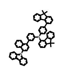 CC1(C)c2ccccc2-c2c(-c3ccc(N(c4cccc(-c5ccc(-n6c7ccccc7c7ccccc76)c6ccccc56)c4)c4cccc5c4-c4ccccc4C5(C)C)cc3)cccc21